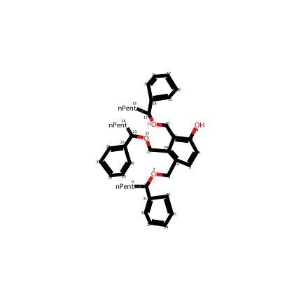 CCCCCC(OCc1ccc(O)c(COC(CCCCC)c2ccccc2)c1COC(CCCCC)c1ccccc1)c1ccccc1